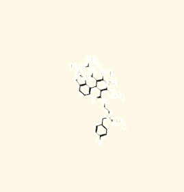 CC1=C(C(=O)OCCN(C)Cc2ccc(F)cc2)C(c2cccc3c2OOC3)C(C(=O)OC(C)C)=C(C)N1